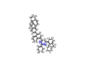 CC1(C)c2ccccc2-c2c(-c3cc(-c4ccc(-c5ccc6c(c5)-c5ccc7ccccc7c5C6(C)C)c5ccccc45)nc(-c4ccccc4)n3)cccc21